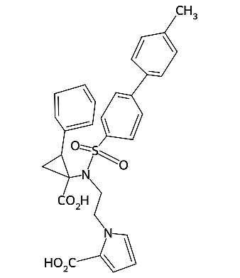 Cc1ccc(-c2ccc(S(=O)(=O)N(CCn3cccc3C(=O)O)C3(C(=O)O)CC3c3ccccc3)cc2)cc1